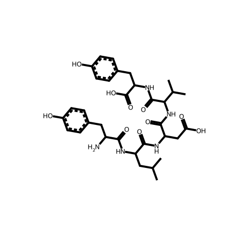 CC(C)CC(NC(=O)C(N)Cc1ccc(O)cc1)C(=O)NC(CC(=O)O)C(=O)NC(C(=O)NC(Cc1ccc(O)cc1)C(=O)O)C(C)C